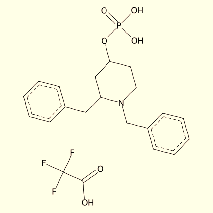 O=C(O)C(F)(F)F.O=P(O)(O)OC1CCN(Cc2ccccc2)C(Cc2ccccc2)C1